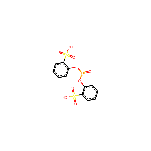 O=[PH](Oc1ccccc1S(=O)(=O)O)Oc1ccccc1S(=O)(=O)O